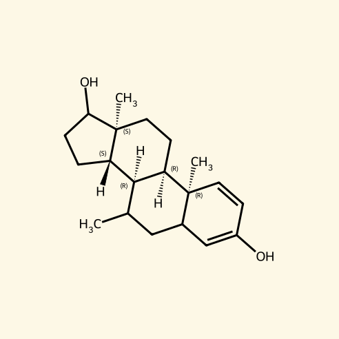 CC1CC2C=C(O)C=C[C@]2(C)[C@@H]2CC[C@]3(C)C(O)CC[C@H]3[C@H]12